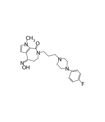 Cn1ccc2c1C(=O)N(CCCN1CCN(c3ccc(F)cc3)CC1)CCC2=NO